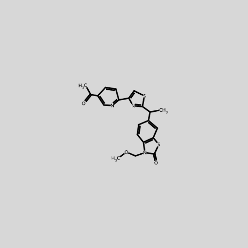 COCn1c(=O)sc2cc(C(C)c3nc(-c4ccc(C(C)=O)cn4)cs3)ccc21